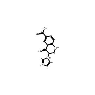 O=C(O)c1ccc2c(c1)C(=O)C(n1ccnc1)CO2